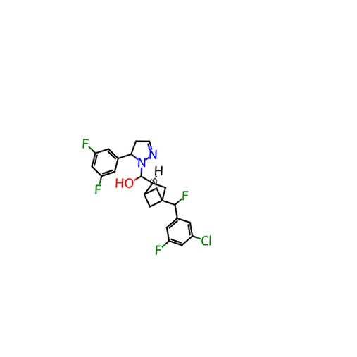 OC([C@H]1CC2(C(F)c3cc(F)cc(Cl)c3)CC1C2)N1N=CCC1c1cc(F)cc(F)c1